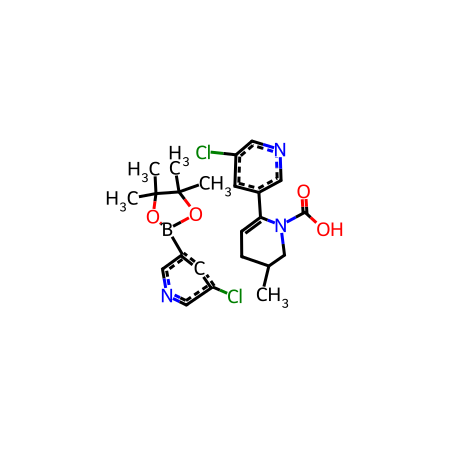 CC1(C)OB(c2cncc(Cl)c2)OC1(C)C.CC1CC=C(c2cncc(Cl)c2)N(C(=O)O)C1